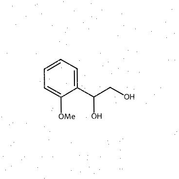 COc1ccccc1C(O)CO